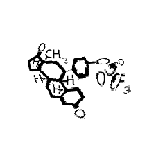 C[C@]12C[C@H](c3ccc(OS(=O)(=O)C(F)(F)F)cc3)[C@H]3[C@@H](CCC4=CC(=O)CC[C@@H]43)[C@@H]1CCC2=O